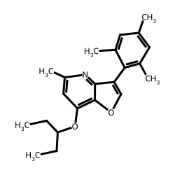 CCC(CC)Oc1cc(C)nc2c(-c3c(C)cc(C)cc3C)coc12